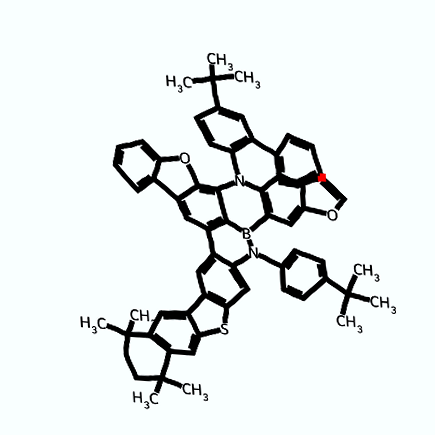 CC(C)(C)c1ccc(N2B3c4cc5occc5cc4N(c4ccc(C(C)(C)C)cc4-c4ccccc4)c4c3c(cc3c4oc4ccccc43)-c3cc4c(cc32)sc2cc3c(cc24)C(C)(C)CCC3(C)C)cc1